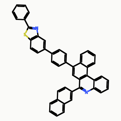 c1ccc(-c2nc3cc(-c4ccc(-c5cc6c(-c7ccc8ccccc8c7)nc7ccccc7c6c6ccccc56)cc4)ccc3s2)cc1